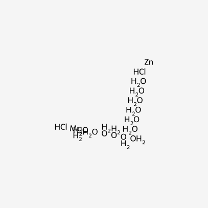 Cl.Cl.O.O.O.O.O.O.O.O.O.O.O.O.[MgH2].[Zn]